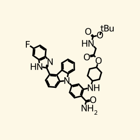 CC(C)(C)OC(=O)NCC(=O)OC1CCC(Nc2cc(-n3c4ccccc4c4c(-c5nc6ccc(F)cc6[nH]5)cccc43)ccc2C(N)=O)CC1